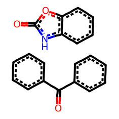 O=C(c1ccccc1)c1ccccc1.O=c1[nH]c2ccccc2o1